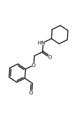 O=Cc1ccccc1OCC(=O)NC1CCCCC1